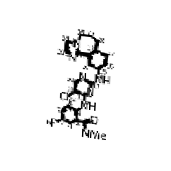 CNC(=O)c1cc(F)ccc1Nc1nc(Nc2ccc3c(c2)-c2nccn2CCC3)ncc1Cl